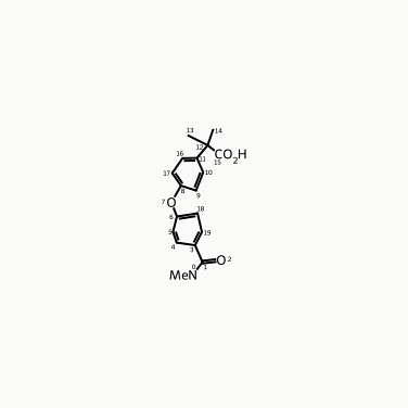 CNC(=O)c1ccc(Oc2ccc(C(C)(C)C(=O)O)cc2)cc1